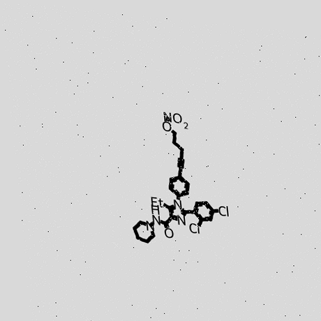 CCc1c(C(=O)NN2CCCCC2)nc(-c2ccc(Cl)cc2Cl)n1-c1ccc(C#CCCCO[N+](=O)[O-])cc1